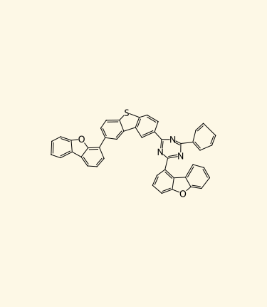 c1ccc(-c2nc(-c3ccc4sc5ccc(-c6cccc7c6oc6ccccc67)cc5c4c3)nc(-c3cccc4oc5ccccc5c34)n2)cc1